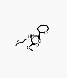 COC(=O)[C@H](CCSC)NC(=O)C1CCCCO1